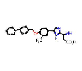 N=C(CC(=O)O)c1ncc(-c2ccc(OCc3ccc(-c4ccccc4)cc3)c(C(F)(F)F)c2)[nH]1